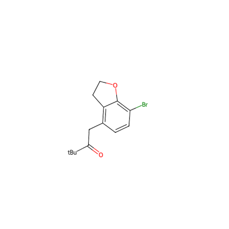 CC(C)(C)C(=O)Cc1ccc(Br)c2c1CCO2